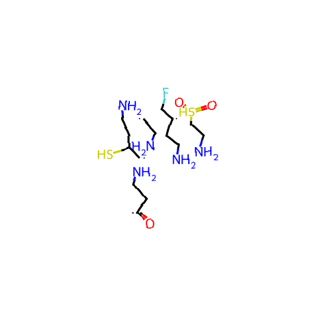 NCC[CH]CF.NCC[C]=O.NCC[SH](=O)=O.[CH2]C(S)CCN.[CH2]CN